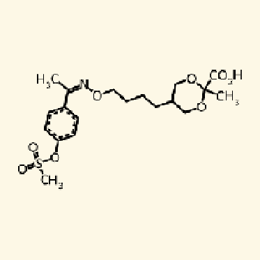 CC(=NOCCCCC1COC(C)(C(=O)O)OC1)c1ccc(OS(C)(=O)=O)cc1